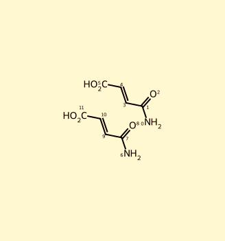 NC(=O)C=CC(=O)O.NC(=O)C=CC(=O)O